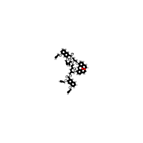 C#CCOc1cc2c(OCC#C)cccc2cc1C(=O)OCC(COc1ccc2ccccc2c1Cc1c(OCC(COC(=O)c2cc3cccc(OCC#C)c3cc2OCC#C)OC(=O)C=C)ccc2ccccc12)CC(=O)C=C